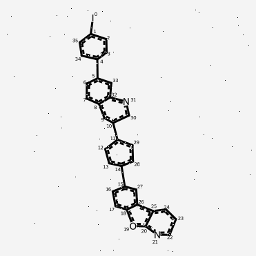 Ic1ccc(-c2ccc3cc(-c4ccc(-c5ccc6oc7ncccc7c6c5)cc4)cnc3c2)cc1